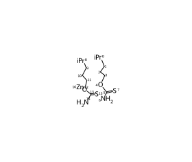 CC(C)CCCOC(N)=S.CC(C)CCCOC(N)=S.[Zn]